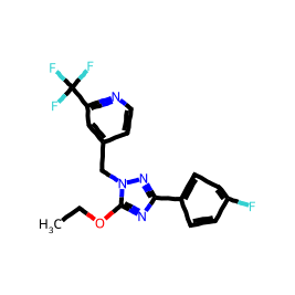 CCOc1nc(-c2ccc(F)cc2)nn1Cc1ccnc(C(F)(F)F)c1